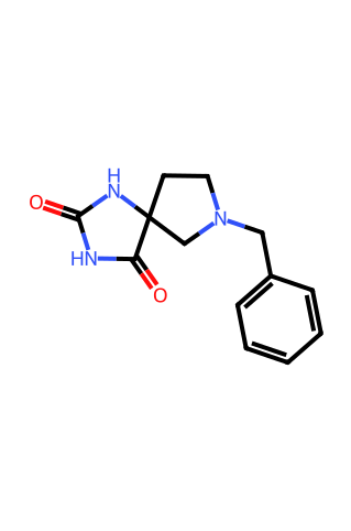 O=C1NC(=O)C2(CCN(Cc3ccccc3)C2)N1